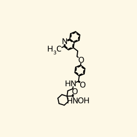 Cc1cc(CCOc2ccc(C(=O)NCCC3(C(=O)NO)CCCCC3)cc2)c2ccccc2n1